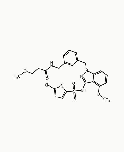 COCCC(=O)NCc1cccc(Cn2nc(NS(=O)(=S)c3ccc(Cl)s3)c3c(OC)cccc32)c1